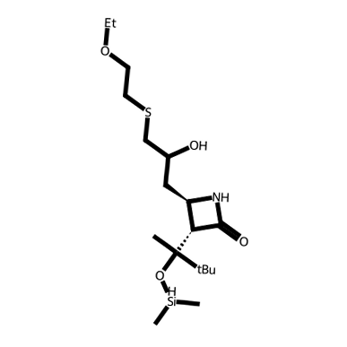 CCOCCSCC(O)C[C@H]1NC(=O)[C@@H]1C(C)(O[SiH](C)C)C(C)(C)C